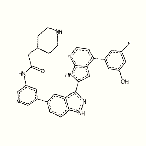 O=C(CC1CCNCC1)Nc1cncc(-c2ccc3[nH]nc(-c4cc5c(-c6cc(O)cc(F)c6)ccnc5[nH]4)c3c2)c1